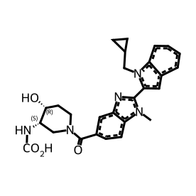 Cn1c(-c2cc3ccccc3n2CC2CC2)nc2cc(C(=O)N3CC[C@@H](O)[C@@H](NC(=O)O)C3)ccc21